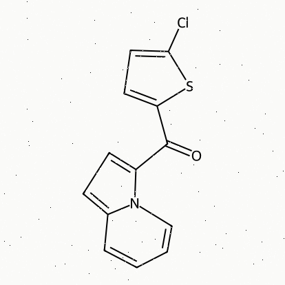 O=C(c1ccc(Cl)s1)c1ccc2ccccn12